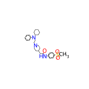 CS(=O)(=O)c1ccc(NC(=O)CC2CCN(CCN(c3ccccc3)C3CCCCC3)CC2)cc1